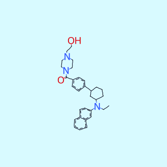 CCN(c1ccc2ccccc2c1)C1CCCC(c2ccc(C(=O)N3CCN(CCO)CC3)cc2)C1